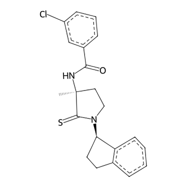 C[C@]1(NC(=O)c2cccc(Cl)c2)CCN([C@@H]2CCc3ccccc32)C1=S